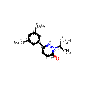 COc1cc(OC)cc(-c2ccc(=O)n(C(C)C(=O)O)n2)c1